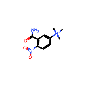 C[N+](C)(C)c1ccc([N+](=O)[O-])c(C(N)=O)c1